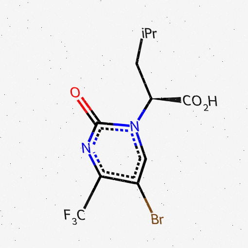 CC(C)C[C@@H](C(=O)O)n1cc(Br)c(C(F)(F)F)nc1=O